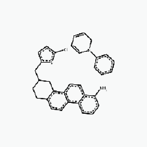 C1=CCN(c2ccccc2)C=C1.Nc1cccc2c1ccc1c3c(ccc12)CCC(Cc1ccc(Cl)s1)C3